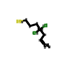 C=CC[Si](Cl)(Cl)CCCS